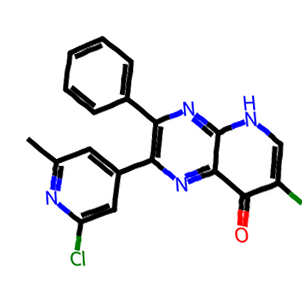 Cc1cc(-c2nc3c(=O)c(Br)c[nH]c3nc2-c2ccccc2)cc(Cl)n1